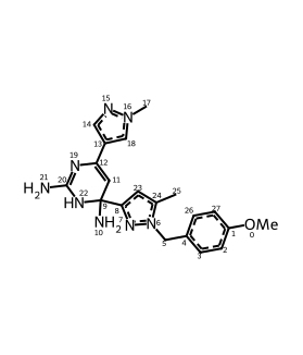 COc1ccc(Cn2nc(C3(N)C=C(c4cnn(C)c4)N=C(N)N3)cc2C)cc1